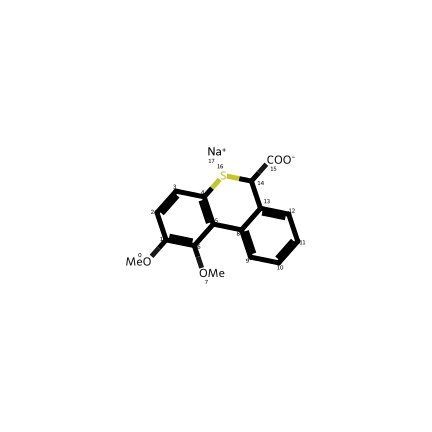 COc1ccc2c(c1OC)-c1ccccc1C(C(=O)[O-])S2.[Na+]